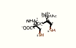 CC(=O)N[C@@H](CS)C(=O)[O-].CC(=O)N[C@@H](CS)C(=O)[O-].[Pd+2]